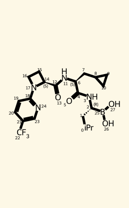 CC(C)C[C@H](NC(=O)[C@H](CC1CC1)NC(=O)[C@@H]1CCN1c1ccc(C(F)(F)F)cn1)B(O)O